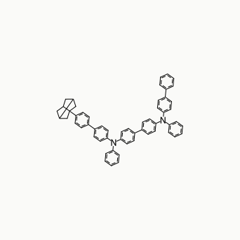 c1ccc(-c2ccc(N(c3ccccc3)c3ccc(-c4ccc(N(c5ccccc5)c5ccc(-c6ccc(C78CC9CC7CC9C8)cc6)cc5)cc4)cc3)cc2)cc1